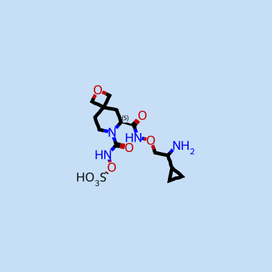 NC(CONC(=O)[C@@H]1CC2(CCN1C(=O)NOS(=O)(=O)O)COC2)C1CC1